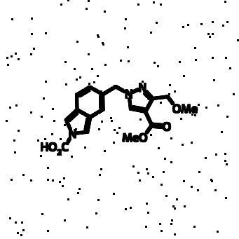 COCc1nn(Cc2ccc3cn(C(=O)O)cc3c2)cc1C(=O)OC